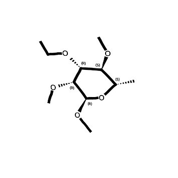 CCO[C@@H]1[C@@H](OC)[C@H](C)O[C@@H](OC)[C@@H]1OC